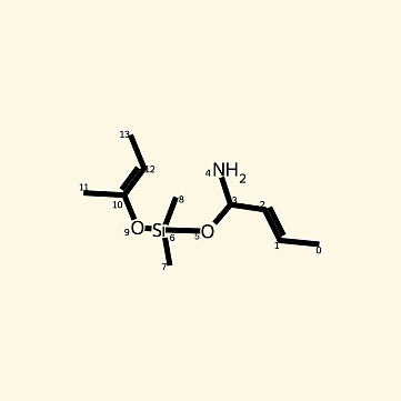 CC=CC(N)O[Si](C)(C)OC(C)=CC